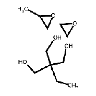 C1CO1.CC1CO1.CCC(CO)(CO)CO